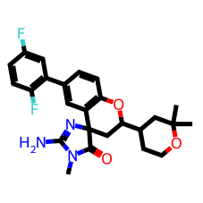 CN1C(=O)C2(CC(C3CCOC(C)(C)C3)Oc3ccc(-c4cc(F)ccc4F)cc32)N=C1N